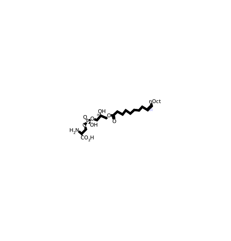 CCCCCCCC/C=C\CCCCCCCC(=O)OC[C@@H](O)COP(=O)(O)OC[C@H](N)C(=O)O